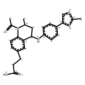 CC(=O)N1c2ccc(CCC(=O)O)cc2C(Nc2ccc(-c3csc(C)n3)cc2)CC1C